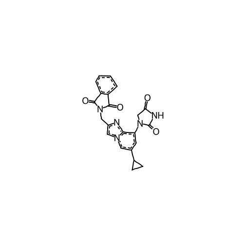 O=C1CN(c2cc(C3CC3)cn3cc(CN4C(=O)c5ccccc5C4=O)nc23)C(=O)N1